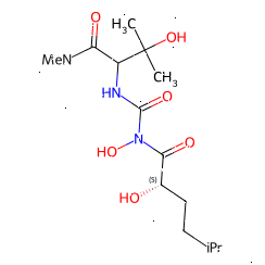 CNC(=O)C(NC(=O)N(O)C(=O)[C@@H](O)CCC(C)C)C(C)(C)O